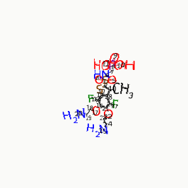 Cc1c(S(=O)(=O)NCP(=O)(O)O)sc2c(F)c(OCCN)c(OCCN)c(F)c12